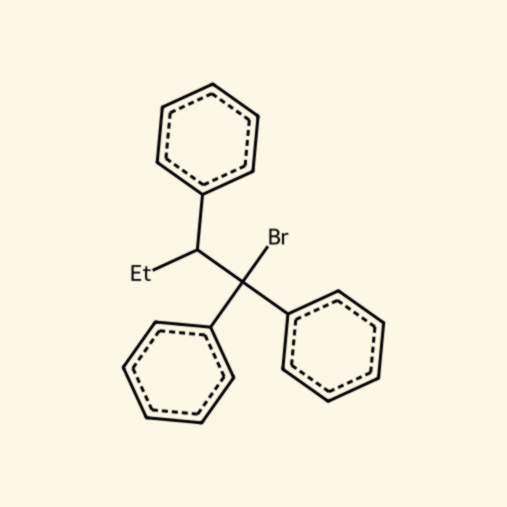 CCC(c1ccccc1)C(Br)(c1ccccc1)c1ccccc1